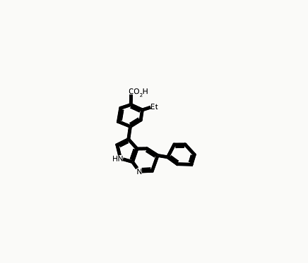 CCc1cc(-c2c[nH]c3ncc(-c4ccccc4)cc23)ccc1C(=O)O